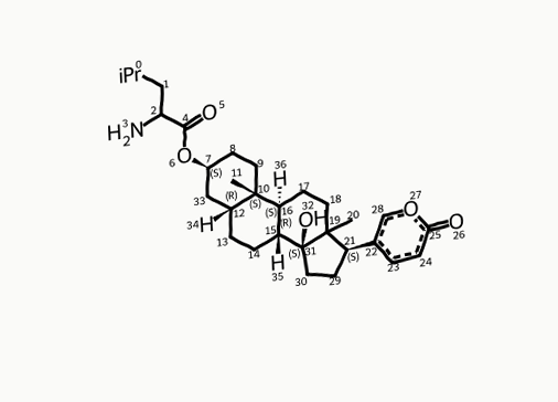 CC(C)CC(N)C(=O)O[C@H]1CC[C@@]2(C)[C@H](CC[C@@H]3[C@@H]2CCC2(C)[C@@H](c4ccc(=O)oc4)CC[C@]32O)C1